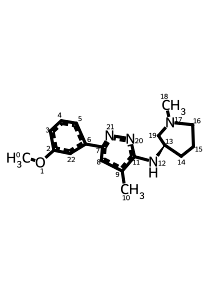 COc1cccc(-c2cc(C)c(N[C@@H]3CCCN(C)C3)nn2)c1